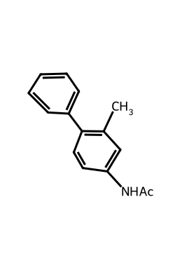 CC(=O)Nc1ccc(-c2ccccc2)c(C)c1